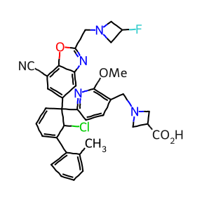 COc1nc(C2(c3cc(C#N)c4oc(CN5CC(F)C5)nc4c3)C=CC=C(c3ccccc3C)C2Cl)ccc1CN1CC(C(=O)O)C1